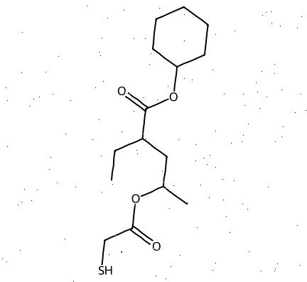 CCC(CC(C)OC(=O)CS)C(=O)OC1CCCCC1